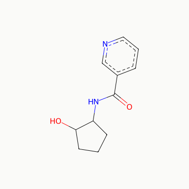 O=C(NC1CCCC1O)c1cccnc1